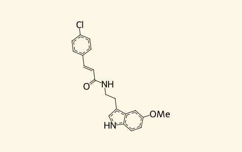 COc1ccc2[nH]cc(CCNC(=O)C=Cc3ccc(Cl)cc3)c2c1